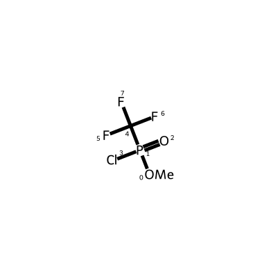 COP(=O)(Cl)C(F)(F)F